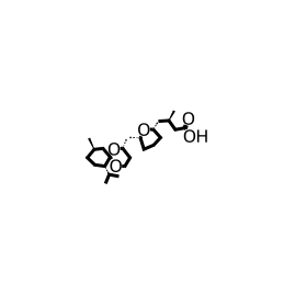 CC(C)[C@@H]1CC[C@@H](C)CC12OCC[C@@H](C[C@H]1CCC[C@@H](C[C@@H](C)CC(=O)O)O1)O2